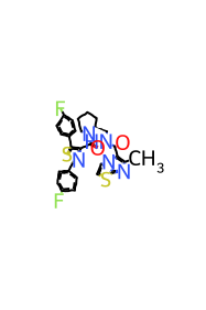 Cc1nc2sccn2c1C(=O)NC[C@@H]1CCCCN1C(=O)c1nc(-c2ccc(F)cc2)sc1-c1ccc(F)cc1